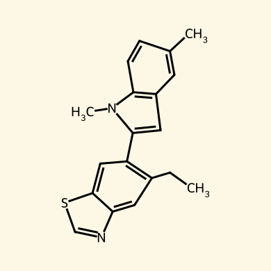 CCc1cc2ncsc2cc1-c1cc2cc(C)ccc2n1C